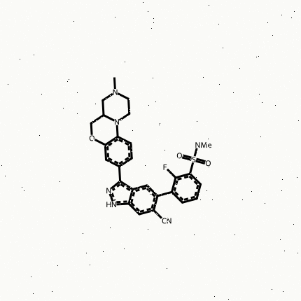 CNS(=O)(=O)c1cccc(-c2cc3c(-c4ccc5c(c4)OCC4CN(C)CCN54)n[nH]c3cc2C#N)c1F